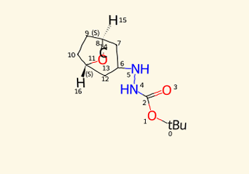 CC(C)(C)OC(=O)NNC1C[C@@H]2CC[C@@H](C1)OC2